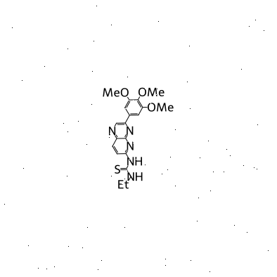 CCNC(=S)Nc1ccc2ncc(-c3cc(OC)c(OC)c(OC)c3)nc2n1